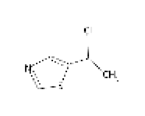 CC(Cl)c1cncs1